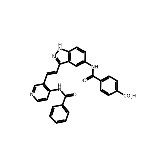 O=C(O)c1ccc(C(=O)Nc2ccc3[nH]nc(C=Cc4cnccc4NC(=O)c4ccccc4)c3c2)cc1